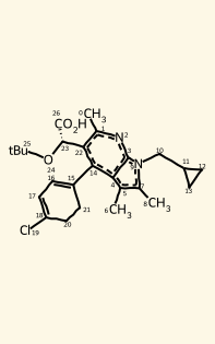 Cc1nc2c(c(C)c(C)n2CC2CC2)c(C2=CC=C(Cl)CC2)c1[C@H](OC(C)(C)C)C(=O)O